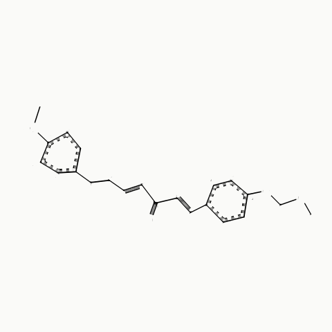 COCOc1ccc(C=CC(=O)C=CCCc2ccc(OC)cc2)cc1